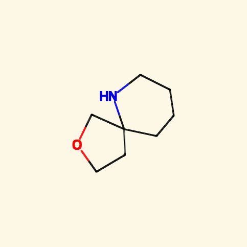 C1CCC2(CCOC2)NC1